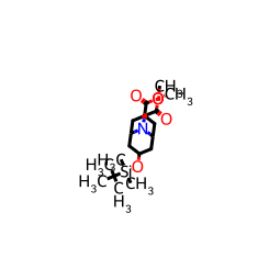 COC(=O)CN1C2CC(O[Si](C)(C)C(C)(C)C)CC1CC(C(=O)OC)C2